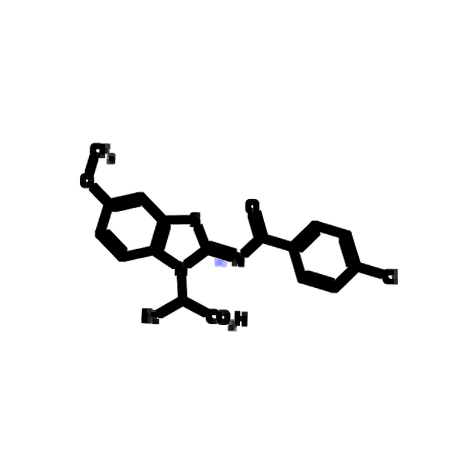 CCC(C(=O)O)n1/c(=N/C(=O)c2ccc(Cl)cc2)sc2cc(OC(F)(F)F)ccc21